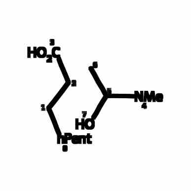 CCCCCCCC(=O)O.CNC(C)O